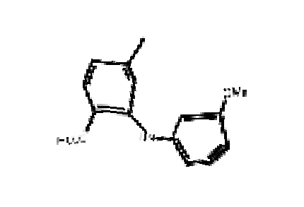 COc1cccc(Nc2cc(C)ccc2C(=O)O)c1